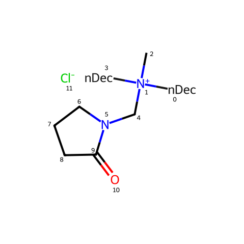 CCCCCCCCCC[N+](C)(CCCCCCCCCC)CN1CCCC1=O.[Cl-]